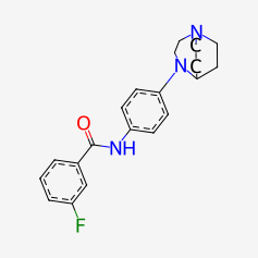 O=C(Nc1ccc(N2CCN3CCC2CC3)cc1)c1cccc(F)c1